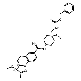 CO[C@](C)(C(C)=O)[C@H]1CCc2cc(C(=N)N[C@H]3CC[C@@](CNC(=O)OCc4ccccc4)(OC)CC3)ccc2O1